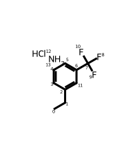 CCc1cccc(C(F)(F)F)c1.Cl.N